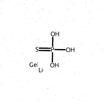 OP(O)(O)=S.[Ge].[Li]